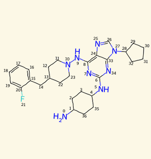 NC1CCC(Nc2nc(NN3CCC(Cc4ccccc4F)CC3)c3ncn(C4CCCC4)c3n2)CC1